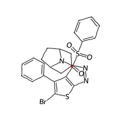 O=C1CC2CCC(C1)N2C1(S(=O)(=O)c2ccccc2)N=Nc2sc(Br)c(-c3ccccc3)c21